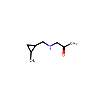 COC(=O)CNCC1CC1C